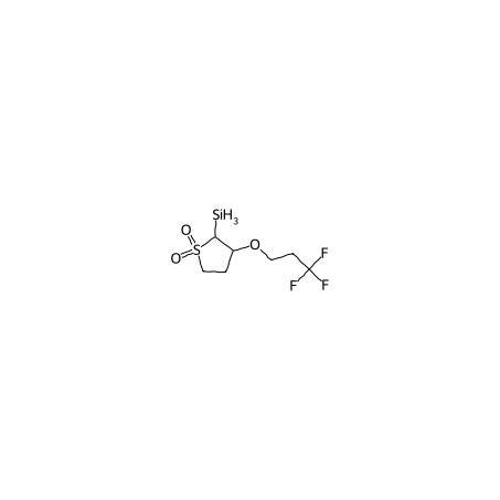 O=S1(=O)CCC(OCCC(F)(F)F)C1[SiH3]